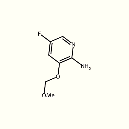 COCOc1cc(F)cnc1N